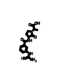 CC(C(=O)O)N1CCC(NC(=O)c2cccc(NC(=N)N)c2)C1=O